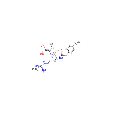 COc1ccc(CC(=O)N[C@@H](CCCNC(=N)N[N+](=O)[O-])C(=O)N[C@@H](CC(C)C)B(O)O)cc1